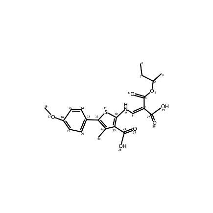 CCC(C)OC(=O)C(=CNc1sc(-c2ccc(OC)cc2)c(C)c1C(=O)O)C(=O)O